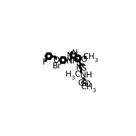 COc1cc2ncnc(Nc3ccc(OCc4cccc(F)c4)c(Br)c3)c2cc1-c1csc(C(C)NCCS(C)(=O)=O)n1